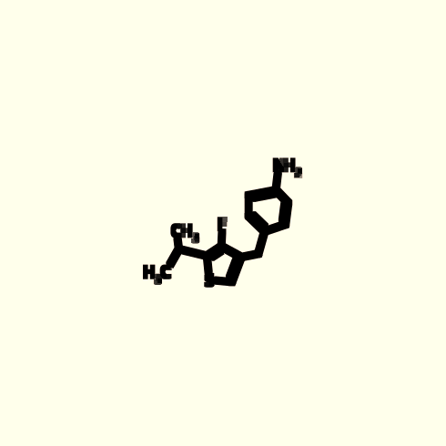 CC(C)c1scc(Cc2ccc(N)cc2)c1F